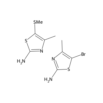 CSc1sc(N)nc1C.Cc1nc(N)sc1Br